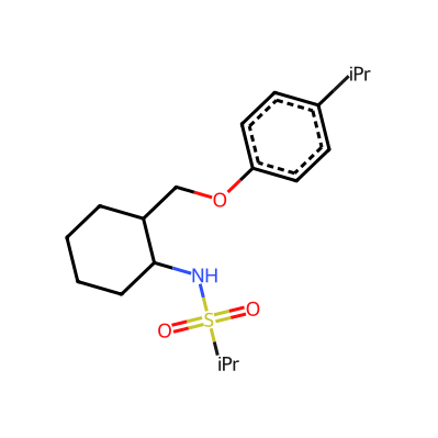 CC(C)c1ccc(OCC2CCCCC2NS(=O)(=O)C(C)C)cc1